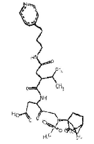 CC(C)C(CC(=O)NCCCc1ccncc1)C(=O)NC(CC(=O)O)C(=O)CN(C12CCC(CC1=O)C2(C)C)S(C)(=O)=O